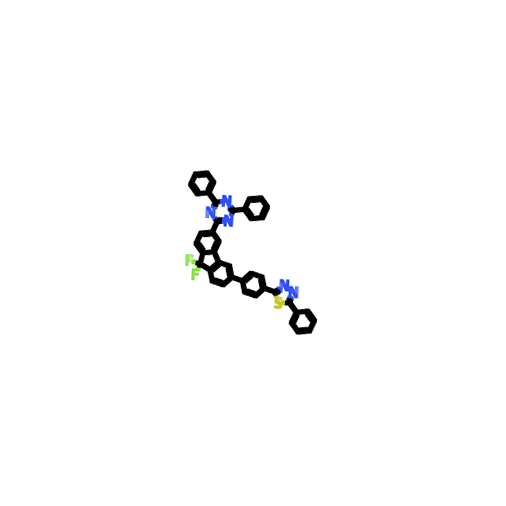 FC1(F)c2ccc(-c3ccc(-c4nnc(-c5ccccc5)s4)cc3)cc2-c2cc(-c3nc(-c4ccccc4)nc(-c4ccccc4)n3)ccc21